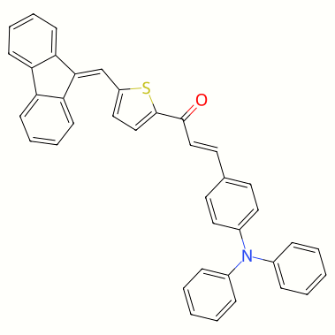 O=C(C=Cc1ccc(N(c2ccccc2)c2ccccc2)cc1)c1ccc(C=C2c3ccccc3-c3ccccc32)s1